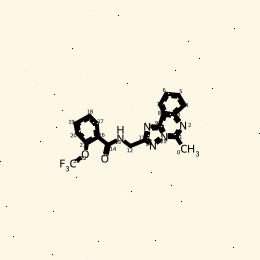 Cc1nc2ccccc2c2nc(CNC(=O)c3ccccc3OC(F)(F)F)nn12